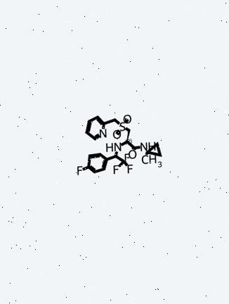 CC1(NC(=O)[C@H](CS(=O)(=O)Cc2ccccn2)NC(c2ccc(F)cc2)C(F)(F)F)CC1